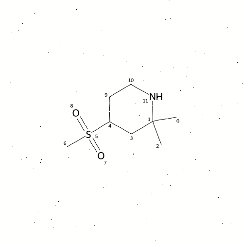 CC1(C)CC(S(C)(=O)=O)CCN1